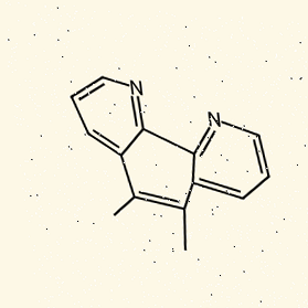 Cc1c(C)c2cccnc2c2ncccc12